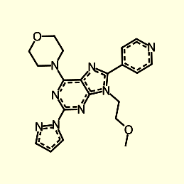 COCCn1c(-c2ccncc2)nc2c(N3CCOCC3)nc(-n3cccn3)nc21